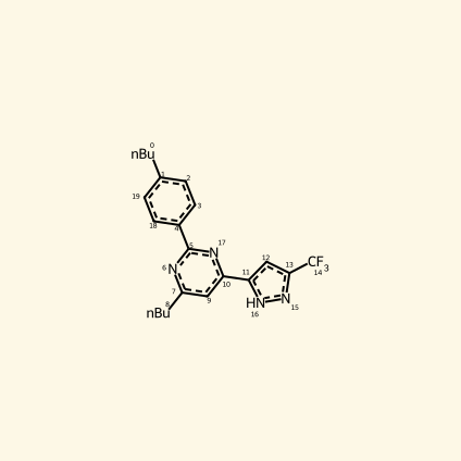 CCCCc1ccc(-c2nc(CCCC)cc(-c3cc(C(F)(F)F)n[nH]3)n2)cc1